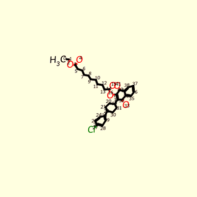 CCOC(=O)CCCCCCCCCC(=O)OC1=C(C2CCC(c3ccc(Cl)cc3)CC2)C(=O)c2ccccc2C1=O